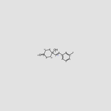 Cc1cccc(/C=C/C2(O)CCC(=O)CC2)c1